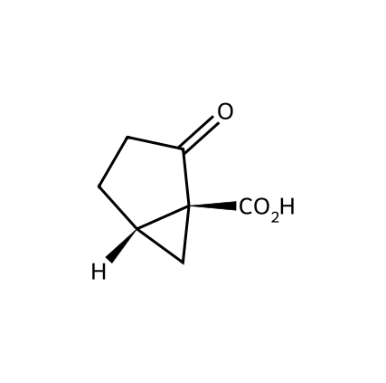 O=C(O)[C@@]12C[C@@H]1CCC2=O